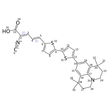 [C-]#[N+]/C(=C\C=C\c1ccc(-c2ccc(-c3cc4c5c(c3)C(C)(C)CCN5CCC4(C)C)s2)s1)C(=O)O